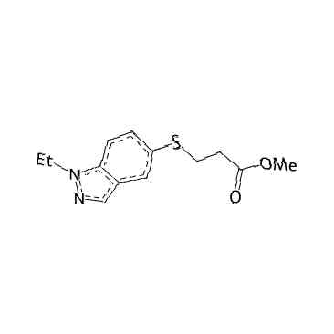 CCn1ncc2cc(SCCC(=O)OC)ccc21